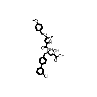 COc1ccc(COc2cc(C(=O)N[C@H](Cc3ccc(-c4cccc(Cl)c4)cc3)C[C@@H](O)C(=O)O)nn2C)cc1